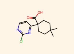 CC1(C)CCC(C(=O)O)(c2ccnc(Cl)n2)CC1